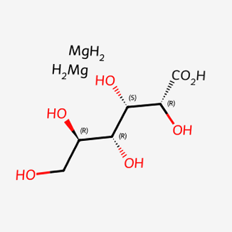 O=C(O)[C@H](O)[C@@H](O)[C@H](O)[C@H](O)CO.[MgH2].[MgH2]